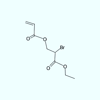 C=CC(=O)OCC(Br)C(=O)OCC